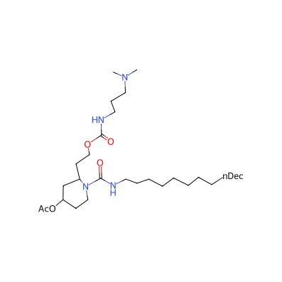 CCCCCCCCCCCCCCCCCCNC(=O)N1CCC(OC(C)=O)CC1CCOC(=O)NCCCN(C)C